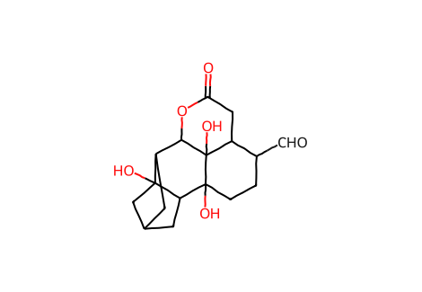 O=CC1CCC2(O)C3CC4CC(C5OC(=O)CC1C52O)C3(O)C4